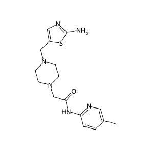 Cc1ccc(NC(=O)CN2CCN(Cc3cnc(N)s3)CC2)nc1